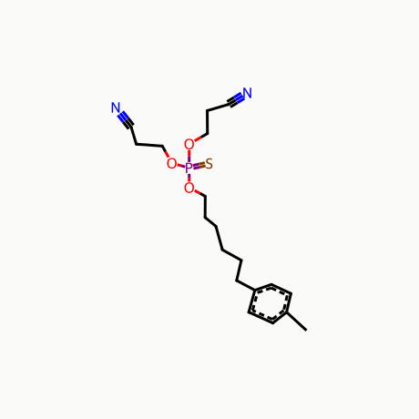 Cc1ccc(CCCCCCOP(=S)(OCCC#N)OCCC#N)cc1